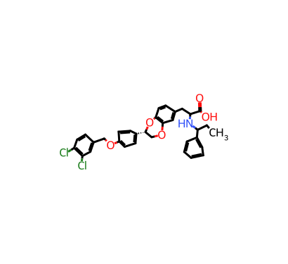 CCC(NC(Cc1ccc2c(c1)OC[C@H](c1ccc(OCc3ccc(Cl)c(Cl)c3)cc1)O2)C(=O)O)c1ccccc1